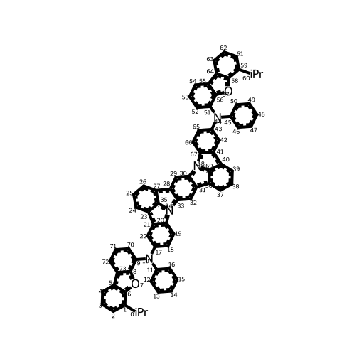 CC(C)c1cccc2c1oc1c(N(c3ccccc3)c3ccc4c(c3)c3cccc5c6cc7c(cc6n4c35)c3cccc4c5cc(N(c6ccccc6)c6cccc8c6oc6c(C(C)C)cccc68)ccc5n7c43)cccc12